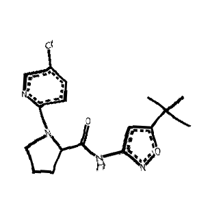 CC(C)(C)c1cc(NC(=O)C2CCCN2c2ccc(Cl)cn2)no1